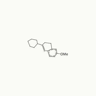 COc1ccc2c(c1)CCC(C1CCCCC1)=[C]2